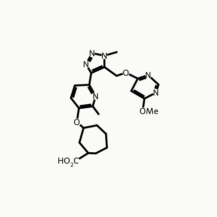 COc1cc(OCc2c(-c3ccc(OC4CCCCC(C(=O)O)C4)c(C)n3)nnn2C)ncn1